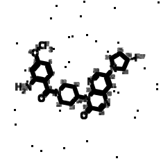 Nc1cc(OC(F)(F)F)ccc1C(=O)N1CCC(n2c(=O)cnc3cc(N4CC[C@H](F)C4)cnc32)CC1